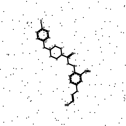 COc1cc(C/C=C/O)ccc1OCC(=O)N1CCN(Cc2ccc(F)cc2)CC1